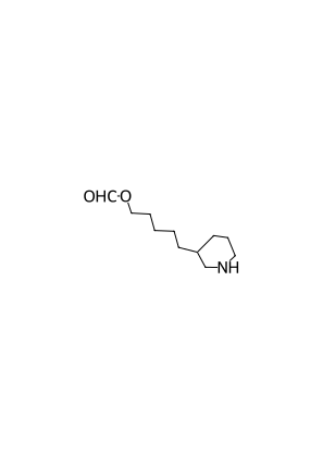 O=COCCCCCC1CCCNC1